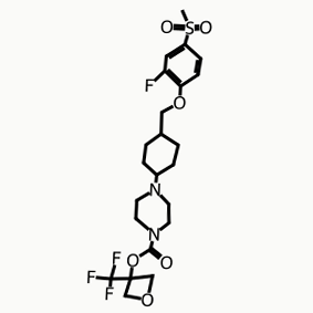 CS(=O)(=O)c1ccc(OCC2CCC(N3CCN(C(=O)OC4(C(F)(F)F)COC4)CC3)CC2)c(F)c1